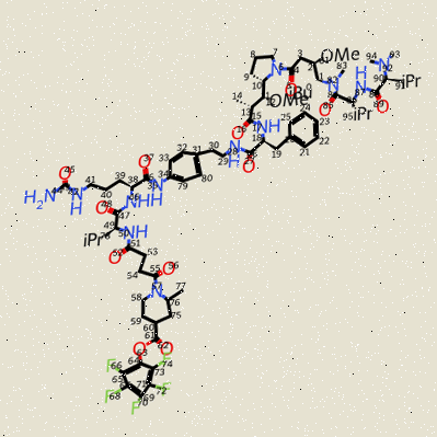 CC[C@H](C)[C@@H]([C@@H](CC(=O)N1CCC[C@H]1[C@H](OC)[C@@H](C)C(=O)N[C@@H](Cc1ccccc1)C(=O)NCCc1ccc(NC(=O)[C@H](CCCNC(N)=O)NC(=O)[C@@H](NC(=O)CCC(=O)N2CCC(C(=O)Oc3c(F)c(F)c(F)c(F)c3F)CC2C)C(C)C)cc1)OC)N(C)C(=O)[C@@H](NC(=O)[C@H](C(C)C)N(C)C)C(C)C